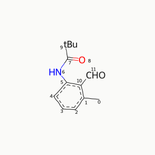 Cc1cccc(NC(=O)C(C)(C)C)c1C=O